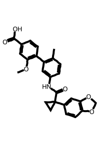 COc1cc(C(=O)O)ccc1-c1cc(NC(=O)C2(c3ccc4c(c3)OCO4)CC2)ccc1C